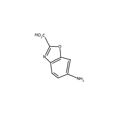 Nc1ccc2nc(C(=O)O)oc2c1